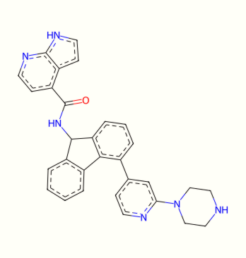 O=C(NC1c2ccccc2-c2c(-c3ccnc(N4CCNCC4)c3)cccc21)c1ccnc2[nH]ccc12